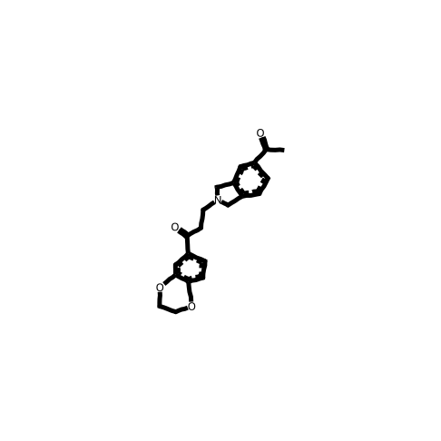 CC(=O)c1ccc2c(c1)CN(CCC(=O)c1ccc3c(c1)OCCO3)C2